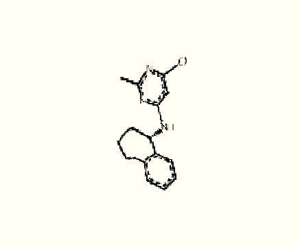 Cc1nc(Cl)cc(N[C@@H]2CCCc3ccccc32)n1